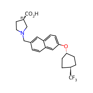 O=C(O)[C@@H]1CCN(Cc2ccc3cc(O[C@H]4CC[C@H](C(F)(F)F)CC4)ccc3c2)C1